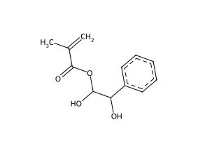 C=C(C)C(=O)OC(O)C(O)c1ccccc1